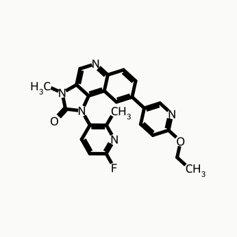 CCOc1ccc(-c2ccc3ncc4c(c3c2)n(-c2ccc(F)nc2C)c(=O)n4C)cn1